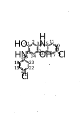 Oc1cc(Nc2ccc(Cl)cc2)c(O)cc1Nc1ccc(Cl)cc1